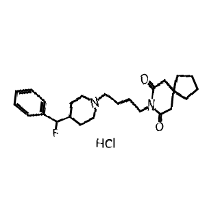 Cl.O=C1CC2(CCCC2)CC(=O)N1CCCCN1CCC(C(F)c2ccccc2)CC1